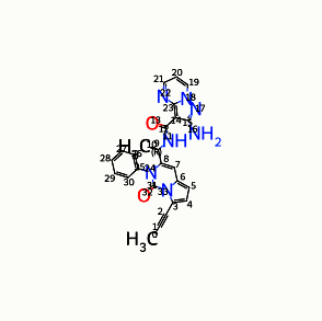 CC#Cc1ccc2cc([C@@H](C)NC(=O)c3c(N)nn4cccnc34)n(-c3ccccc3)c(=O)n12